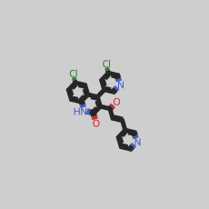 O=C(/C=C/c1cccnc1)c1c(-c2cncc(Cl)c2)c2cc(Cl)ccc2[nH]c1=O